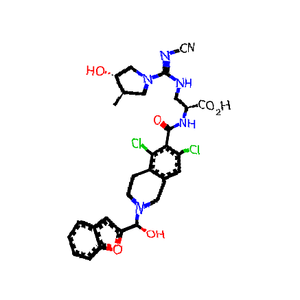 C[C@@H]1CN(/C(=N/C#N)NC[C@H](NC(=O)c2c(Cl)cc3c(c2Cl)CCN(C(O)c2cc4ccccc4o2)C3)C(=O)O)C[C@H]1O